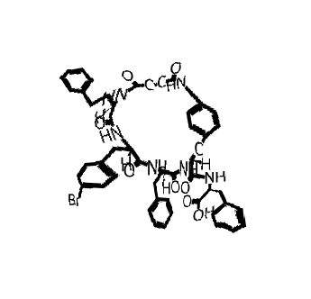 O=C1CCC(=O)N[C@H](CCc2ccccc2)C(=O)N[C@@H](Cc2ccc(Br)cc2)C(=O)N[C@H](Cc2ccccc2)C(=O)N[C@@H](C(=O)N[C@@H](Cc2ccccc2)C(=O)O)Cc2ccc(cc2)N1